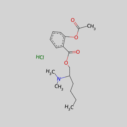 CCCCC(COC(=O)c1ccccc1OC(C)=O)N(C)C.Cl